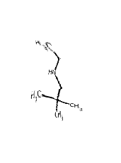 C[CH]NCC(C)(C)C